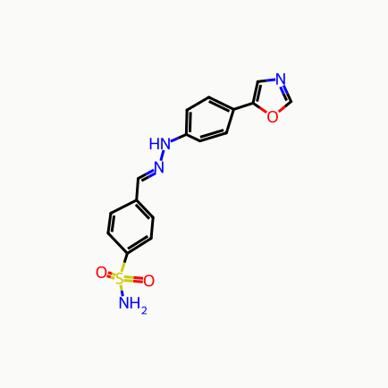 NS(=O)(=O)c1ccc(C=NNc2ccc(-c3cnco3)cc2)cc1